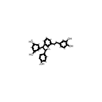 Oc1ccc(C2Oc3c(CCc4ccc(O)c(O)c4)cccc3C2c2cc(O)cc(O)c2)cc1